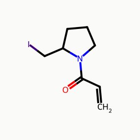 C=CC(=O)N1CCCC1CI